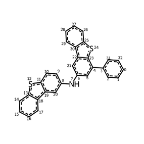 c1ccc(-c2cc(Nc3ccc4sc5ccccc5c4c3)cc3c2sc2ccccc23)cc1